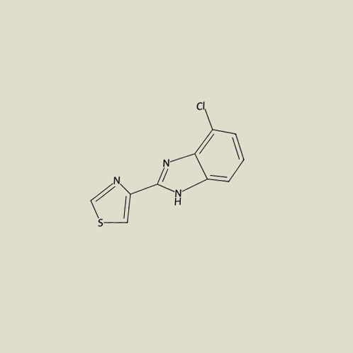 Clc1cccc2[nH]c(-c3cscn3)nc12